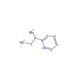 CCC(C)C(CC#N)c1ccccn1